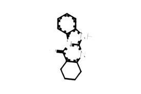 O=c1c2c(nc3[nH]c4ccccc4n13)CCCC2